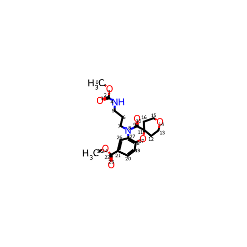 COC(=O)NCCCN1C(=O)C2(CCOCC2)Oc2ccc(C(=O)OC)cc21